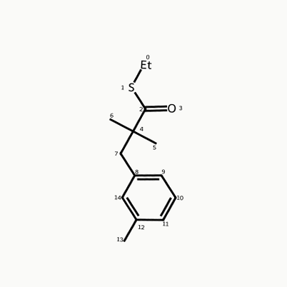 CCSC(=O)C(C)(C)Cc1cccc(C)c1